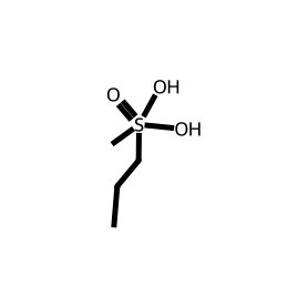 CCCS(C)(=O)(O)O